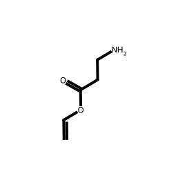 C=COC(=O)CCN